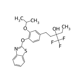 CCC(O)(CCc1ccc(Oc2nc3ccccc3s2)c(OC(C)C)c1)C(F)(F)F